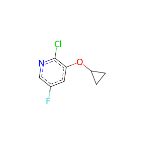 Fc1cnc(Cl)c(OC2CC2)c1